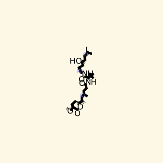 COC1=CC[C@@H]([C@@H](C)/C=C(\C)CCC(=O)N[C@H](C(=O)N/C=C\C[C@@H](O)C/C=C(\C)I)C(C)(C)C)OC1=O